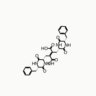 O=C(O)C(C[C@@H]1NC(=O)[C@H](Cc2ccccc2)NC1=O)=C(C[C@@H]1NC(=O)[C@H](Cc2ccccc2)NC1=O)C(=O)O